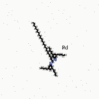 CCCCCCCCCCCCCCCCCCCCCCC/C=C/C(/C=N/c1cc(CCCCC)cc(CCCCC)c1)=N\c1cc(CCCCC)cc(CCCCC)c1.[Pd]